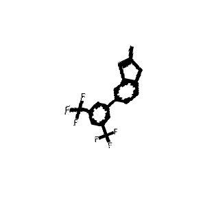 CC1=Cc2cc(-c3cc(C(F)(F)F)cc(C(F)(F)F)c3)ccc2C1